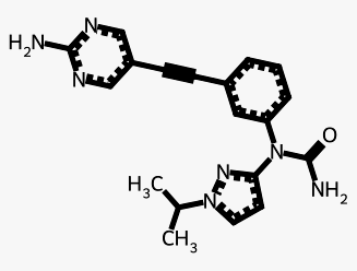 CC(C)n1ccc(N(C(N)=O)c2cccc(C#Cc3cnc(N)nc3)c2)n1